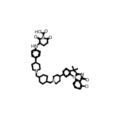 CC1(C)c2ccc(C3CCN(CC4CCC(CN5CCC(c6ccc(NC7CCC(=O)N(C(=O)O)C7=O)cc6)CC5)CC4)CC3)cc2-n2c1nc(=O)c1c(Cl)cccc12